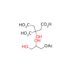 CC(=O)OCC(O)CO.O=C(O)CC(O)(CC(=O)O)C(=O)O